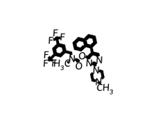 CN1CCN(c2ncc(-c3cccc4ccccc34)c(OC(=O)N(C)Cc3cc(C(F)(F)F)cc(C(F)(F)F)c3)n2)CC1